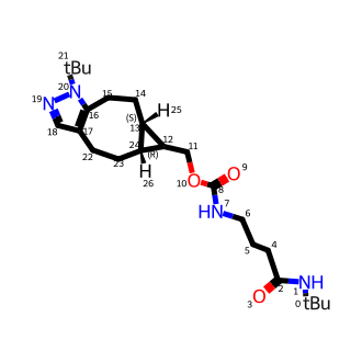 CC(C)(C)NC(=O)CCCNC(=O)OCC1[C@H]2CCc3c(cnn3C(C)(C)C)CC[C@@H]12